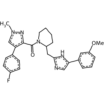 COc1cccc(-c2cnc(CC3CCCCN3C(=O)c3nn(C)cc3-c3ccc(F)cc3)[nH]2)c1